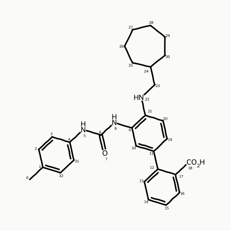 Cc1ccc(NC(=O)Nc2cc(-c3ccccc3C(=O)O)ccc2NCC2CCCCCC2)cc1